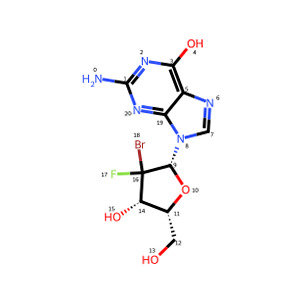 Nc1nc(O)c2ncn([C@@H]3O[C@H](CO)[C@H](O)C3(F)Br)c2n1